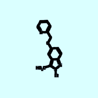 CCn1nc2ccc(OCc3ccccn3)cc2c1C(=O)O